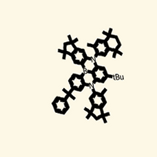 Cc1cc2c(cc1N1c3cc4c(cc3B3c5ccc(C(C)(C)c6ccccc6)cc5N(c5cc6c(cc5C)C(C)(C)CC6(C)C)c5cc(C(C)(C)C)cc1c53)C(C)(C)CC4(C)C)C(C)(C)CCC2(C)C